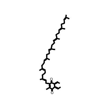 C/C=C1/C(=O)C(C)=C(C/C=C(\C)CC/C=C(\C)CC/C=C(\C)CC/C=C(\C)CC/C=C(\C)CC/C=C(\C)CCC=C(C)C)C(=O)/C1=C/C